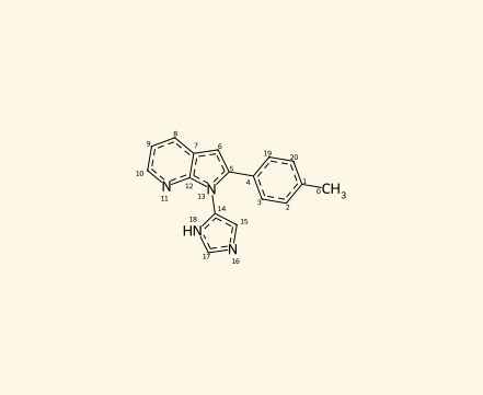 Cc1ccc(-c2cc3cccnc3n2-c2cnc[nH]2)cc1